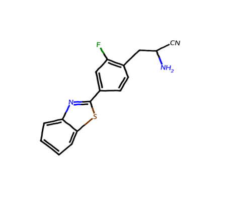 N#CC(N)Cc1ccc(-c2nc3ccccc3s2)cc1F